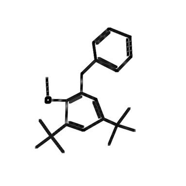 COc1c(Cc2ccccc2)cc(C(C)(C)C)cc1C(C)(C)C